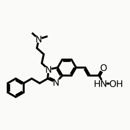 CN(C)CCCn1c(CCc2ccccc2)nc2cc(C=CC(=O)NO)ccc21